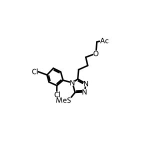 CSc1nnc(CCCOCC(C)=O)n1-c1ccc(Cl)cc1Cl